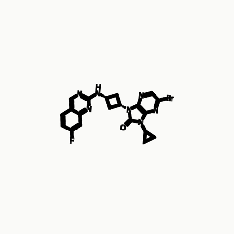 O=c1n(C2CC2)c2nc(Br)cnc2n1[C@H]1C[C@H](Nc2ncc3ccc(F)cc3n2)C1